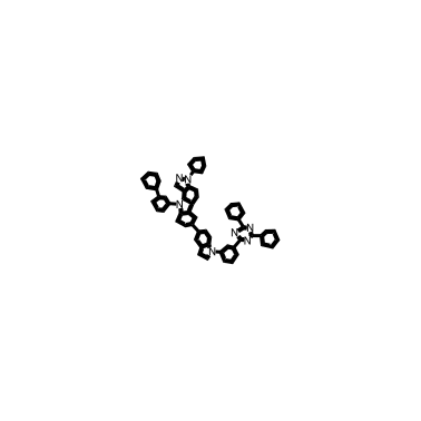 c1ccc(-c2cccc(-n3c4ccc(-c5ccc6c(ccn6-c6cccc(-c7nc(-c8ccccc8)nc(-c8ccccc8)n7)c6)c5)cc4c4ccc5c(cnn5-c5ccccc5)c43)c2)cc1